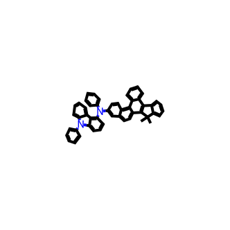 CC1(C)c2ccccc2-c2c1c1ccc3cc(N(c4ccccc4)c4cccc5c4c4ccccc4n5-c4ccccc4)ccc3c1c1ccccc21